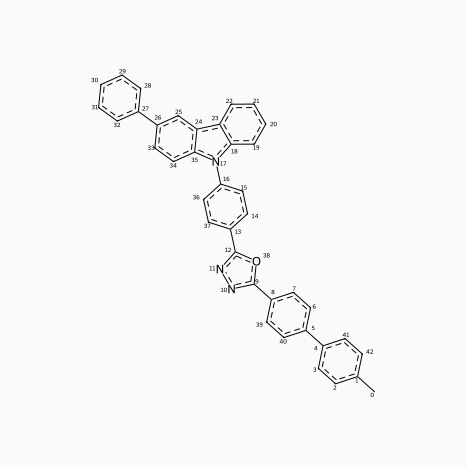 Cc1ccc(-c2ccc(-c3nnc(-c4ccc(-n5c6ccccc6c6cc(-c7ccccc7)ccc65)cc4)o3)cc2)cc1